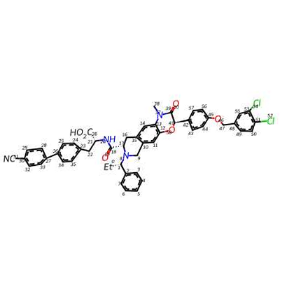 CC[C@@H](c1ccccc1)N1Cc2cc3c(cc2C[C@H]1C(=O)N[C@H](Cc1ccc(-c2ccc(C#N)cc2)cc1)C(=O)O)N(C)C(=O)[C@@H](c1ccc(OCc2ccc(Cl)c(Cl)c2)cc1)O3